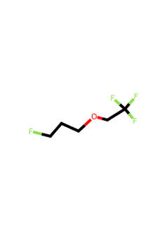 FCCCOCC(F)(F)F